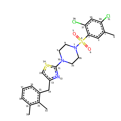 Cc1cc(S(=O)(=O)N2CCN(c3nc(Cc4cccc(C)c4C)cs3)CC2)c(Cl)cc1Cl